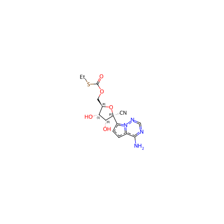 CCSC(=O)OC[C@H]1O[C@@](C#N)(c2ccc3c(N)ncnn23)[C@H](O)[C@@H]1O